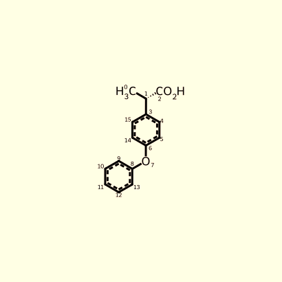 C[C@H](C(=O)O)c1ccc(Oc2ccccc2)cc1